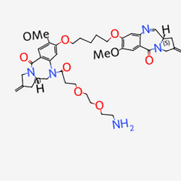 C=C1C[C@H]2CN(C(=O)CCOCCOCCN)c3cc(OCCCCCOc4cc5c(cc4OC)C(=O)N4CC(=C)C[C@H]4C=N5)c(OC)cc3C(=O)N2C1